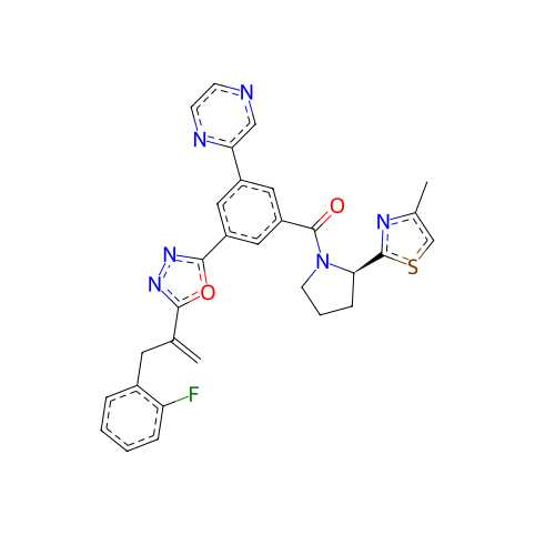 C=C(Cc1ccccc1F)c1nnc(-c2cc(C(=O)N3CCC[C@@H]3c3nc(C)cs3)cc(-c3cnccn3)c2)o1